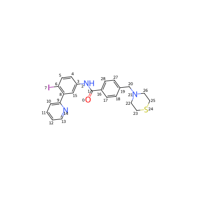 O=C(Nc1ccc(I)c(-c2ccccn2)c1)c1ccc(CN2CCSCC2)cc1